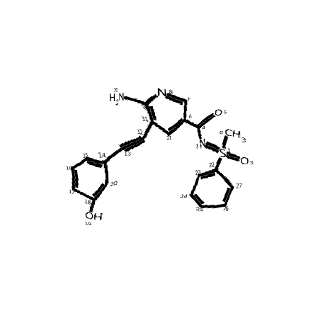 CS(=O)(=NC(=O)c1cnc(N)c(C#Cc2cccc(O)c2)c1)c1ccccc1